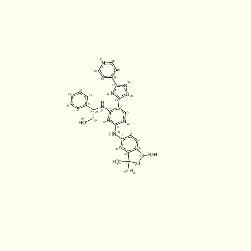 CC1(C)OB(O)c2ccc(Nc3ncc(-c4nc(-c5ccncc5)no4)c(N[C@H](CO)c4ccccc4)n3)nc21